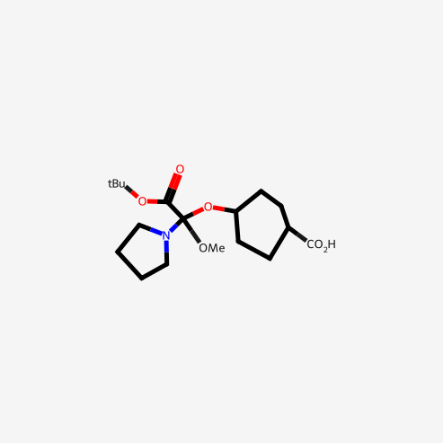 COC(OC1CCC(C(=O)O)CC1)(C(=O)OC(C)(C)C)N1CCCC1